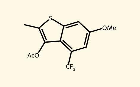 COc1cc(C(F)(F)F)c2c(OC(C)=O)c(C)sc2c1